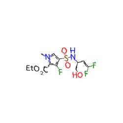 CCOC(=O)c1c(F)c(S(=O)(=O)N[C@@H](C=C(F)F)CO)cn1C